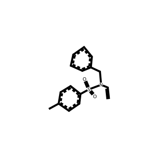 C=CN(Cc1ccccc1)S(=O)(=O)c1ccc(C)cc1